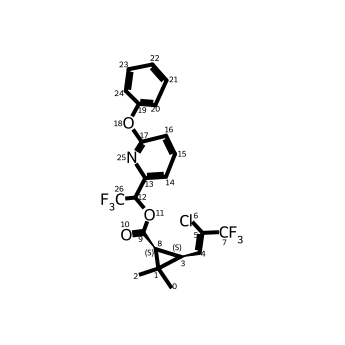 CC1(C)[C@H](C=C(Cl)C(F)(F)F)[C@@H]1C(=O)OC(c1cccc(Oc2ccccc2)n1)C(F)(F)F